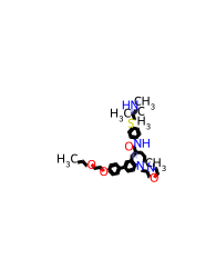 CCCCOCCOc1ccc(-c2ccc3c(c2)/C=C(/C(=O)Nc2ccc(SC/C(C)=C(\C)NC)cc2)CCCN3CC2COCCN2C)cc1